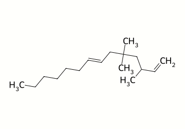 C=CC(C)CC(C)(C)CC=CCCCCCC